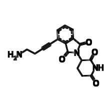 NCCC#Cc1cccc2c1C(=O)N(C1CCC(=O)NC1=O)C2=O